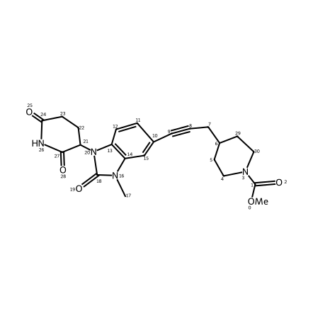 COC(=O)N1CCC(CC#Cc2ccc3c(c2)n(C)c(=O)n3C2CCC(=O)NC2=O)CC1